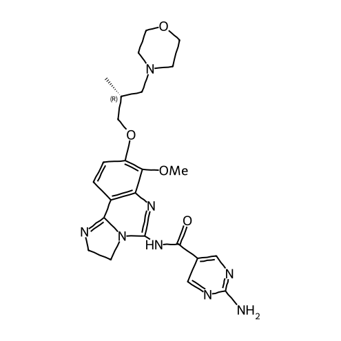 COc1c(OC[C@H](C)CN2CCOCC2)ccc2c1N=C(NC(=O)c1cnc(N)nc1)N1CCN=C21